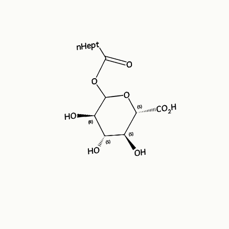 CCCCCCCC(=O)OC1O[C@H](C(=O)O)[C@@H](O)[C@H](O)[C@H]1O